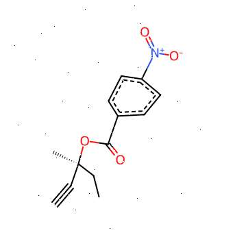 C#C[C@](C)(CC)OC(=O)c1ccc([N+](=O)[O-])cc1